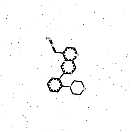 N=C=Cc1ccnc2ccc(-c3ccccc3N3CCOCC3)cc12